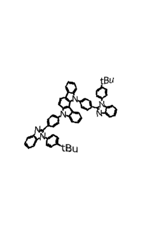 CC(C)(C)c1ccc(-n2c(-c3ccc(-n4c5ccccc5c5c4ccc4c6ccccc6n(-c6ccc(-c7nc8ccccc8n7-c7ccc(C(C)(C)C)cc7)cc6)c45)cc3)nc3ccccc32)cc1